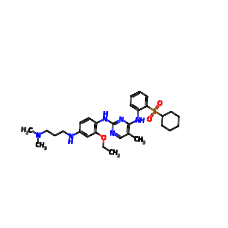 CCOc1cc(NCCCN(C)C)ccc1Nc1ncc(C)c(Nc2ccccc2S(=O)(=O)C2CCCCC2)n1